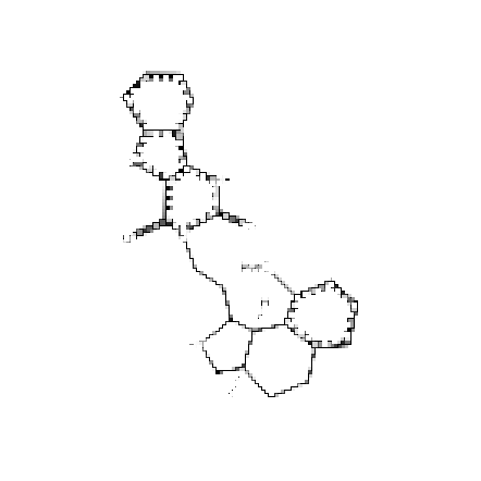 COc1cccc2c1[C@@H]1C(CCn3c(=O)[nH]c4c(sc5ccccc54)c3=O)NC[C@@H]1CC2